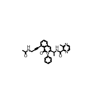 CC(=O)NCC#Cc1cccc2cc(C(C)NC(=O)c3nccnc3C)n(-c3ccccc3)c(=O)c12